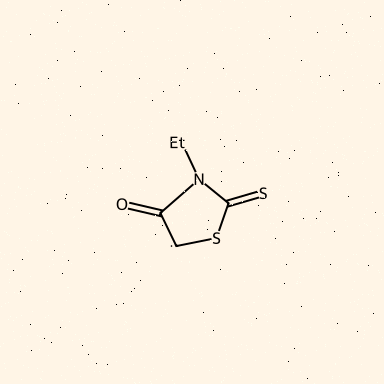 CCN1C(=O)[CH]SC1=S